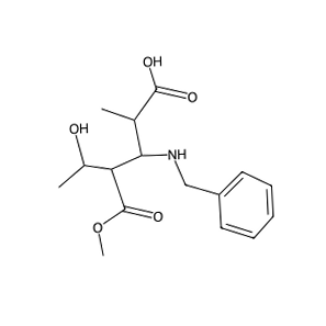 COC(=O)C(C(C)O)C(NCc1ccccc1)C(C)C(=O)O